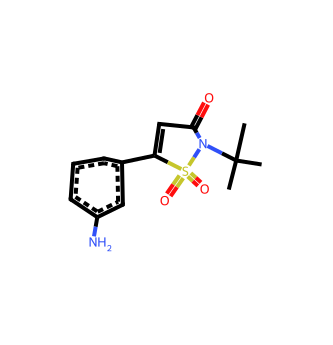 CC(C)(C)N1C(=O)C=C(c2cccc(N)c2)S1(=O)=O